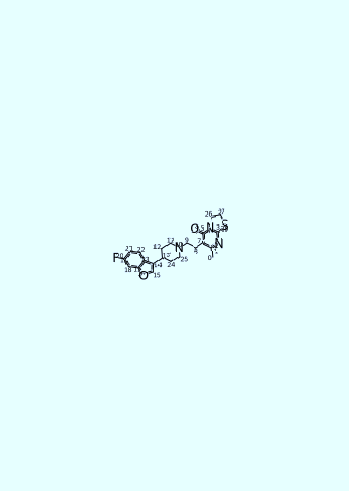 Cc1nc2n(c(=O)c1CCN1CCC(c3coc4cc(F)ccc34)CC1)CCS2